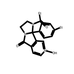 CCC(=O)N1CCN2C(=O)c3cc[n+](O)cc3C12c1ccc(CC)cc1